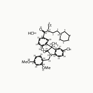 CCN(CCN1CCCCC1)C(=O)c1ccc(Cl)c(C2(C)C(=O)N(Cc3ccc(OC)cc3OC)c3ccc(Cl)cc32)c1.Cl